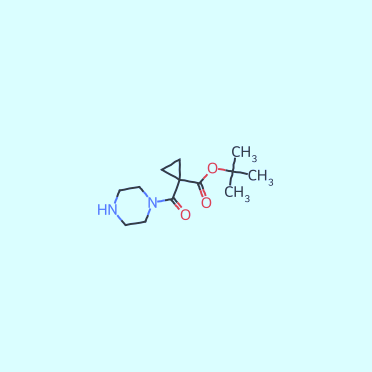 CC(C)(C)OC(=O)C1(C(=O)N2CCNCC2)CC1